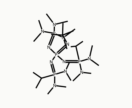 CC(C)P(=NP(=NC(C)(C)C)(N=P(C(C)C)(N(C)C)N(C)C)N=P(N(C)C)(N(C)C)N(C)C)(N(C)C)N(C)C